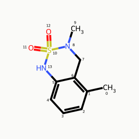 Cc1cccc2c1CN(C)S(=O)(=O)N2